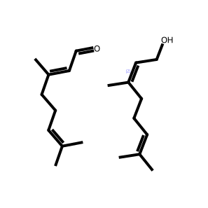 CC(C)=CCC/C(C)=C\CO.CC(C)=CCCC(C)=CC=O